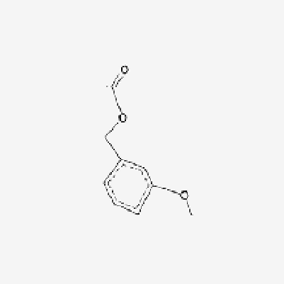 COc1cccc(CO[C]=O)c1